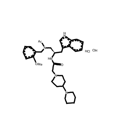 COc1ccccc1CN(C[C@@H](Cc1c[nH]c2ccccc12)NC(=O)CN1CCC(N2CCCCC2)CC1)C(C)=O.Cl.Cl